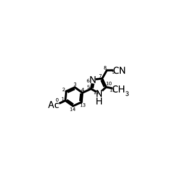 CC(=O)c1ccc(-c2nc(CC#N)c(C)[nH]2)cc1